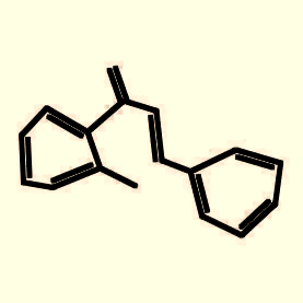 C=C(C=Cc1ccccc1)c1ccccc1C